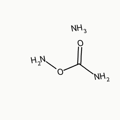 N.NOC(N)=O